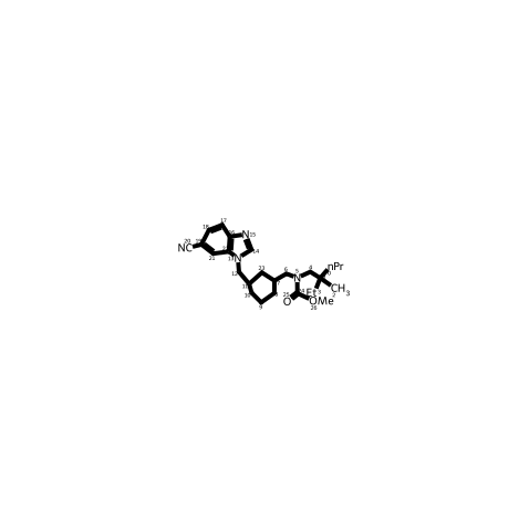 CCCC(C)(CC)CN(CC1CCCC(Cn2cnc3ccc(C#N)cc32)C1)C(=O)OC